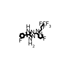 CC1(c2cccc(F)c2)CNc2nc(-c3nc(CCC(F)(F)C(F)(F)F)n4cc(F)ccc34)nc(N)c21